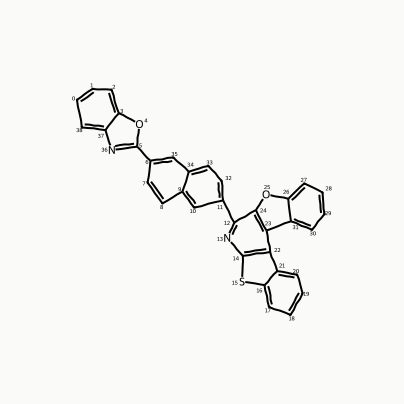 c1ccc2oc(-c3ccc4cc(-c5nc6sc7ccccc7c6c6c5oc5ccccc56)ccc4c3)nc2c1